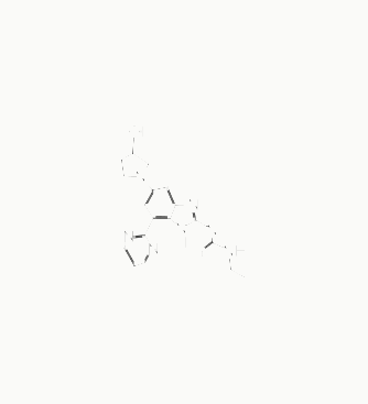 CCNC(=O)Nc1nc2cc(N3CCC(O)C3)cc(-c3ncccn3)c2[nH]1